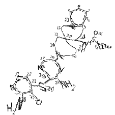 CC(C)(C)[S+]([O-])NC1c2ccccc2CC12CCN(c1cnc(Sc3ccnc(N)c3Cl)c(N)n1)CC2